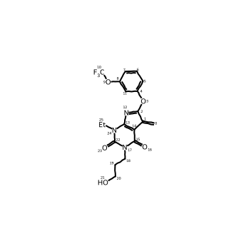 C=C1C(Oc2cccc(OC(F)(F)F)c2)=Nc2c1c(=O)n(CCCO)c(=O)n2CC